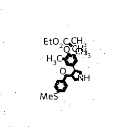 CCOC(=O)C(C)(C)Oc1c(C)cc([C@H]2CNCC2C(=O)c2ccc(SC)cc2)cc1C